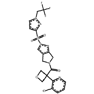 O=C(N1Cc2cn(S(=O)(=O)c3ccn(CC(F)(F)F)n3)nc2C1)C1(c2ncccc2Cl)COC1